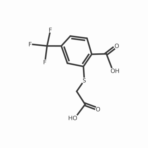 O=C(O)CSc1cc(C(F)(F)F)ccc1C(=O)O